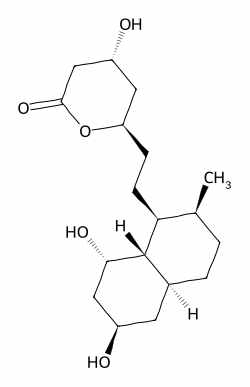 C[C@H]1CC[C@H]2C[C@@H](O)C[C@H](O)[C@@H]2[C@H]1CC[C@@H]1C[C@@H](O)CC(=O)O1